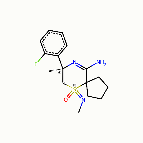 CN=[S@]1(=O)C[C@@](C)(c2ccccc2F)N=C(N)C12CCCC2